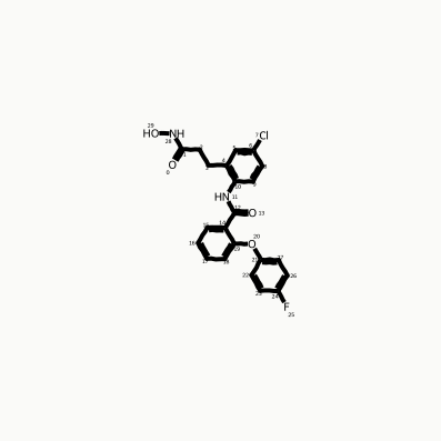 O=C(CCc1cc(Cl)ccc1NC(=O)c1ccccc1Oc1ccc(F)cc1)NO